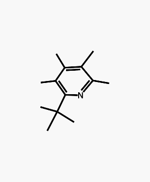 Cc1nc(C(C)(C)C)c(C)c(C)c1C